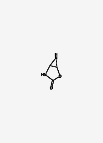 O=C1NC2NC2O1